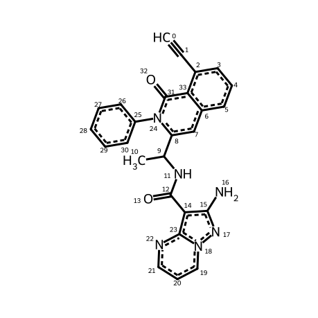 C#Cc1cccc2cc(C(C)NC(=O)c3c(N)nn4cccnc34)n(-c3ccccc3)c(=O)c12